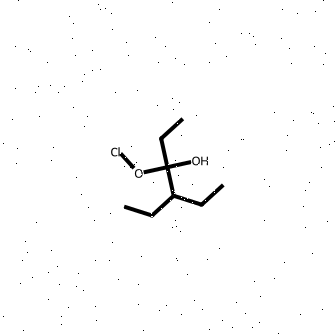 CCC(CC)C(O)(CC)OCl